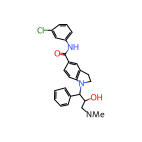 CNCC(O)C(c1ccccc1)N1CCc2cc(C(=O)Nc3cccc(Cl)c3)ccc21